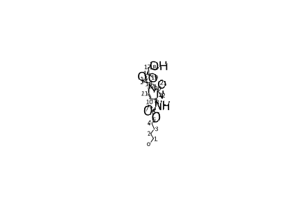 CCCCCOC(=O)Nc1ccn(C2COC(CO)O2)c(=O)n1